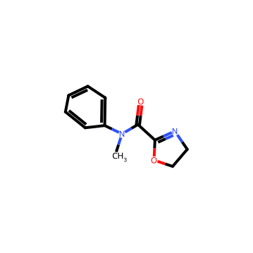 CN(C(=O)C1=NCCO1)c1ccccc1